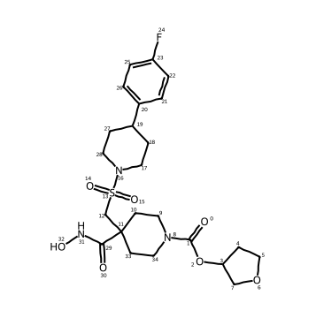 O=C(OC1CCOC1)N1CCC(CS(=O)(=O)N2CCC(c3ccc(F)cc3)CC2)(C(=O)NO)CC1